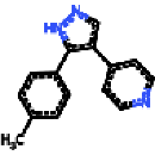 Cc1ccc(-c2[nH]ncc2-c2ccncc2)cc1